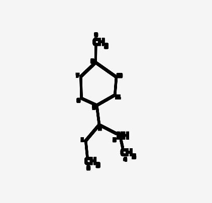 CCC(NC)C1CCC(C)CC1